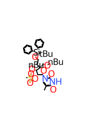 CCCCOC[C@@]1(CCO[Si](c2ccccc2)(c2ccccc2)C(C)(C)C)O[C@@H](n2cc(C)c(=O)[nH]c2=O)[C@@H](OS(C)(=O)=O)C1OCCCC